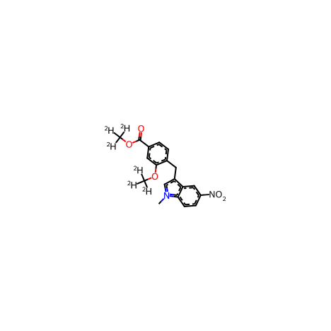 [2H]C([2H])([2H])OC(=O)c1ccc(Cc2cn(C)c3ccc([N+](=O)[O-])cc23)c(OC([2H])([2H])[2H])c1